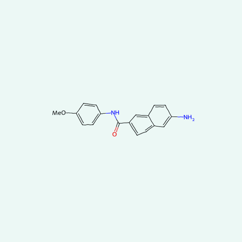 COc1ccc(NC(=O)c2ccc3cc(N)ccc3c2)cc1